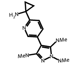 CNc1nn(NC)c(NC)c1-c1ccc(C2(N)CC2)nc1